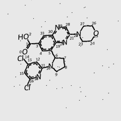 O=C(O)c1cc(C2CCCN2c2cc(Cl)cc(Cl)n2)c2nc(N3CCOCC3)cnc2c1